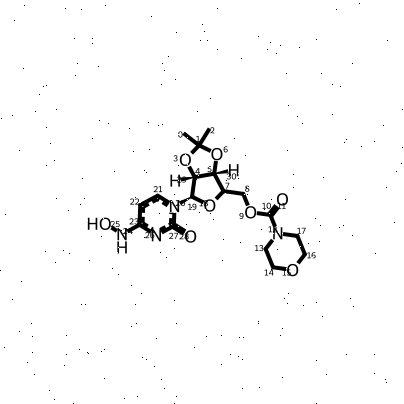 CC1(C)O[C@@H]2[C@H](O1)C(COC(=O)N1CCOCC1)O[C@H]2n1ccc(NO)nc1=O